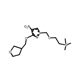 C[Si](C)(C)CCOCn1cc([N+](=O)[O-])c(OCC2CCOC2)n1